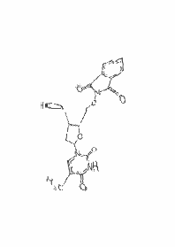 Cc1cn([C@H]2CC(O)[C@@H](CON3C(=O)c4ccccc4C3=O)O2)c(=O)[nH]c1=O